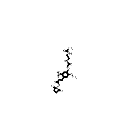 COc1cc(CCC(=O)ON2C(=O)CCC2=O)c([N+](=O)[O-])cc1OCC(=O)NCCNC(C)=O